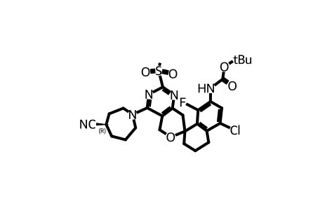 CC(C)(C)OC(=O)Nc1cc(Cl)c2c(c1F)C1(CCC2)Cc2nc(S(C)(=O)=O)nc(N3CCC[C@@H](C#N)CC3)c2CO1